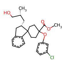 COC(=O)C1(Oc2cccc(Cl)c2)CCC2(CC1)c1ccccc1C[C@@H]2C[C@@H](C)CO